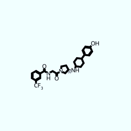 O=C(NCC(=O)N1CC[C@H](NC2CCC(c3ccc(O)cc3)CC2)C1)c1cccc(C(F)(F)F)c1